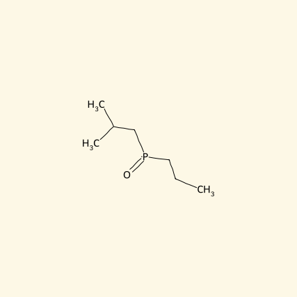 CCC[P](=O)CC(C)C